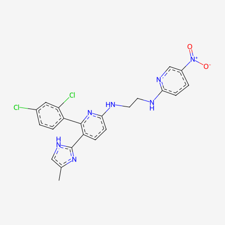 Cc1c[nH]c(-c2ccc(NCCNc3ccc([N+](=O)[O-])cn3)nc2-c2ccc(Cl)cc2Cl)n1